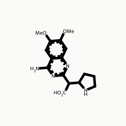 COc1cc2nc(C(C(=O)O)C3CCCN3)nc(N)c2cc1OC